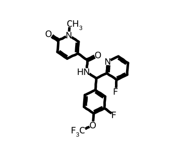 Cn1cc(C(=O)NC(c2ccc(OC(F)(F)F)c(F)c2)c2ncccc2F)ccc1=O